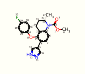 COC(=O)N1c2ccc(-c3cn[nH]c3)c(Oc3ccc(F)cc3)c2CC[C@@H]1C